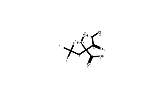 O=C(O)C(CC(F)(F)F)(NO)C(=O)CCl